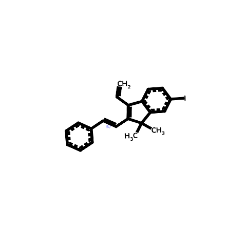 C=CC1=C(/C=C/c2ccccc2)C(C)(C)c2cc(I)ccc21